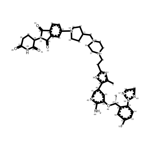 Cc1nc(CCN2CCN(CC3CCN(c4ccc5c(c4)C(=O)N(C4CCC(=O)NC4=O)C5=O)CC3)CC2)sc1-c1cnc(N)c(O[C@H](C)c2cc(F)ccc2-n2nccn2)c1